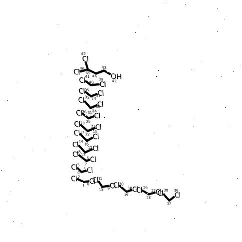 ClCCl.ClCCl.ClCCl.ClCCl.ClCCl.ClCCl.ClCCl.ClCCl.ClCCl.ClCCl.ClCCl.ClCCl.ClCCl.ClCCl.OCCC(Cl)Cl